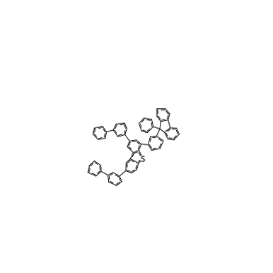 c1ccc(-c2cccc(-c3ccc4sc5c(-c6cccc(C7(c8ccccc8)c8ccccc8-c8ccccc87)c6)cc(-c6cccc(-c7ccccc7)c6)cc5c4c3)c2)cc1